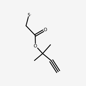 C#CC(C)(C)OC(=O)C[S]